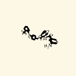 Nc1cncc(C(=O)NC2(C(=O)NCc3ccc(Nc4ccccc4C(F)(F)F)cc3)CCOC2)c1